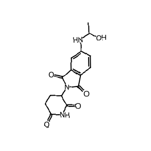 CC(O)Nc1ccc2c(c1)C(=O)N(C1CCC(=O)NC1=O)C2=O